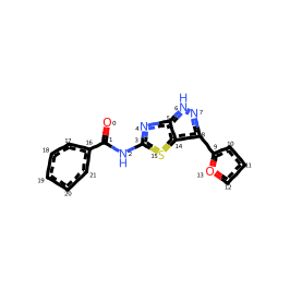 O=C(Nc1nc2[nH]nc(-c3ccco3)c2s1)c1ccccc1